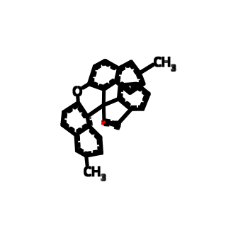 Cc1ccc2c3c(ccc2c1)Oc1ccc2cc(C)ccc2c1C31c2ccccc2-c2ccccc21